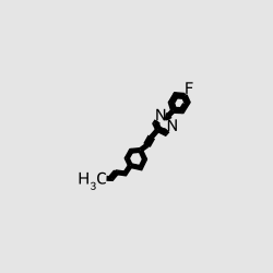 C/C=C/CC1CCC(C#Cc2cnc(-c3ccc(F)cc3)nc2)CC1